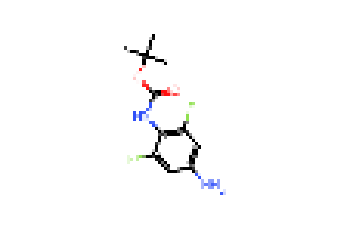 CC(C)(C)OC(=O)Nc1c(F)cc(N)cc1F